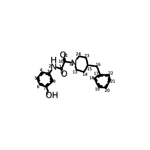 O=C(Nc1cccc(O)c1)C(=O)N1CCC(Cc2ccccc2)CC1